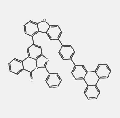 O=c1c2ccccc2c2cc(-c3cccc4oc5ccc(-c6ccc(-c7ccc8c9ccccc9c9ccccc9c8c7)cc6)cc5c34)cc3nc(-c4ccccc4)n1c32